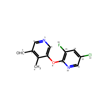 Cc1c(C=O)cncc1Oc1ncc(Cl)cc1F